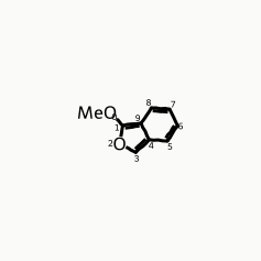 COc1occ2ccccc12